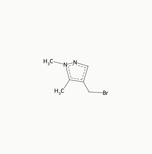 Cc1c(CBr)cnn1C